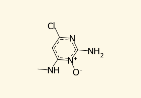 CNc1cc(Cl)nc(N)[n+]1[O-]